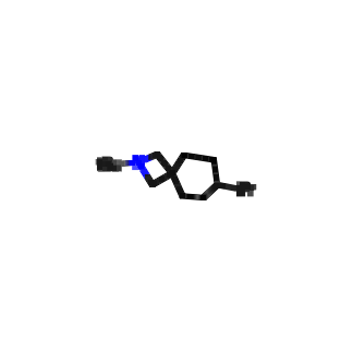 CC(C)C1CCC2(CC1)CN(C(C)(C)C)C2